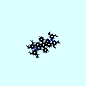 CCc1cc(CC)cc(N(c2cc(CC)cc(CC)c2)c2ccc3c4c(-c5ccccc5)c5c6cccc7c(N(c8cc(CC)cc(CC)c8)c8cc(CC)cc(CC)c8)ccc(c5c(-c5ccccc5)c4c4cccc2c43)c76)c1